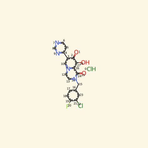 Cl.O=c1c(-c2ccncn2)cn2ccn(Cc3ccc(F)c(Cl)c3)c(=O)c2c1O